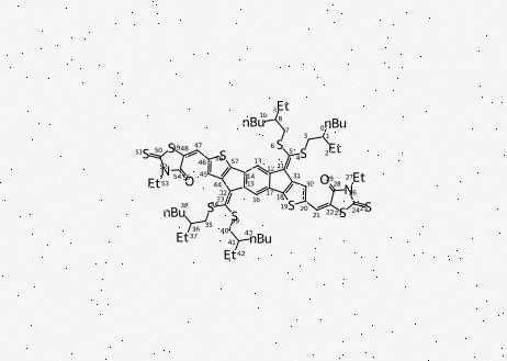 CCCCC(CC)CSC(SCC(CC)CCCC)=C1c2cc3c(cc2-c2sc(/C=C4/SC(=S)N(CC)C4=O)cc21)C(=C(SCC(CC)CCCC)SCC(CC)CCCC)c1cc(/C=C2/SC(=S)N(CC)C2=O)sc1-3